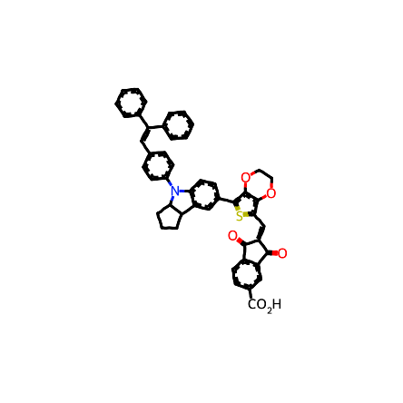 O=C(O)c1ccc2c(c1)C(=O)/C(=C/c1sc(-c3ccc4c(c3)C3CCCC3N4c3ccc(C=C(c4ccccc4)c4ccccc4)cc3)c3c1OCCO3)C2=O